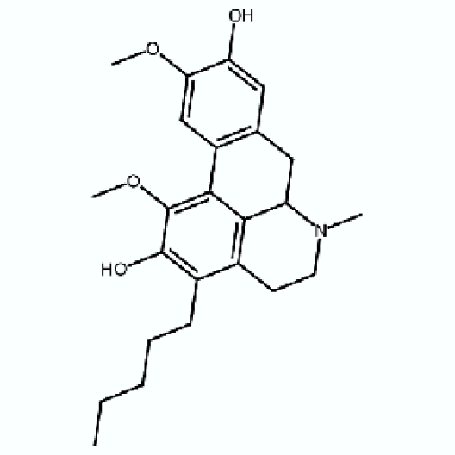 CCCCCc1c(O)c(OC)c2c3c1CCN(C)C3Cc1cc(O)c(OC)cc1-2